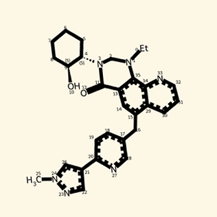 CCN1CN([C@H]2CCCC[C@@H]2O)C(=O)c2cc(Cc3ccc(-c4cnn(C)c4)nc3)c3cccnc3c21